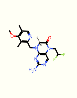 COc1c(C)cnc(CN2c3nc(N)ncc3N(CC(F)F)C(=O)[C@H]2C)c1C